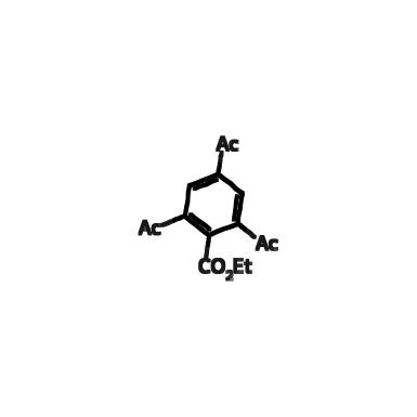 CCOC(=O)c1c(C(C)=O)cc(C(C)=O)cc1C(C)=O